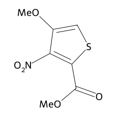 COC(=O)c1scc(OC)c1[N+](=O)[O-]